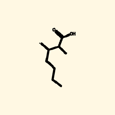 [CH2]C(CCCC)C(C)C(=O)O